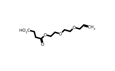 C=CCOCCOCCOC(=O)CCC(=O)O